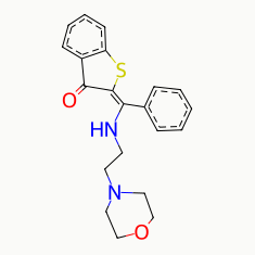 O=C1C(=C(NCCN2CCOCC2)c2ccccc2)Sc2ccccc21